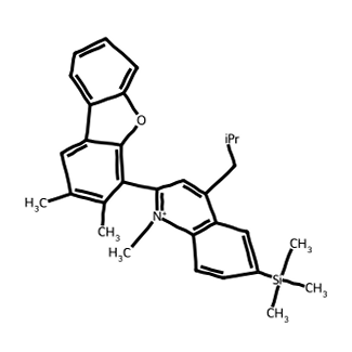 Cc1cc2c(oc3ccccc32)c(-c2cc(CC(C)C)c3cc([Si](C)(C)C)ccc3[n+]2C)c1C